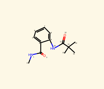 CNC(=O)c1ccccc1NC(=O)C(C)(C)C